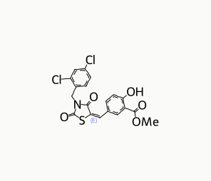 COC(=O)c1cc(/C=C2/SC(=O)N(Cc3ccc(Cl)cc3Cl)C2=O)ccc1O